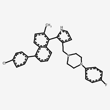 Cc1ccc2c(-c3ccc(Cl)cc3)cccc2c1-c1[nH]ccc1CN1CCN(c2ccc(F)cc2)CC1